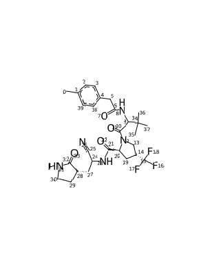 Cc1ccc(CC(=O)NC(C(=O)N2C[C@H](C(F)(F)F)C[C@H]2C(=O)NC(C#N)C[C@@H]2CCNC2=O)C(C)(C)C)cc1